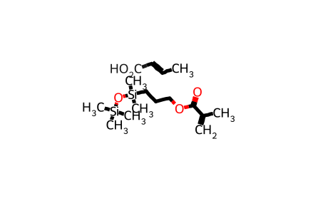 C=C(C)C(=O)OCCC[Si](C)(C)O[Si](C)(C)C.CC=CC(=O)O